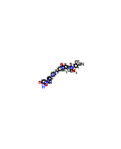 CC1(C)C(=O)N(c2ccc(C#N)c(C(F)(F)F)c2)C(=S)N1c1ccc(C(=O)N2CCC(CCN3CCN(c4ccn5c(N6CCC(=O)NC6=O)cnc5c4)CC3)CC2)c(F)c1